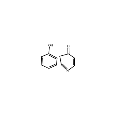 O=C1C=CN=CC1.Oc1ccccc1